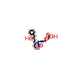 O=C(O)COCC#CCN1C(=O)OCC[C@@H]1/C=C/C(O)Cc1ccccc1